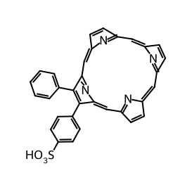 O=S(=O)(O)c1ccc(C2=C(c3ccccc3)C3=NC2=CC2=NC(=CC4=NC(=CC5=NC(=C3)C=C5)C=C4)C=C2)cc1